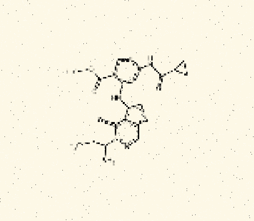 CCC(C)n1ncc2scc(Nc3cc(NC(=O)C4CC4)ncc3C(=O)OC)c2c1=O